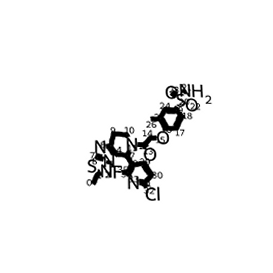 Cc1nn2c3c(nc2s1)CCN(C(=O)COc1ccc(S(N)(=O)=O)cc1C)C3c1ccc(Cl)nc1F